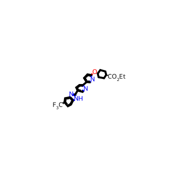 CCOC(=O)[C@H]1CC[C@H](Oc2ccc(-c3ccc(-c4nc5cc(C(F)(F)F)ccc5[nH]4)cn3)cn2)CC1